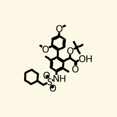 COc1ccc(-c2c(C)cc(NS(=O)(=O)CC3CCCCC3)c(C)c2C(OC(C)(C)C)C(=O)O)c(OC)c1